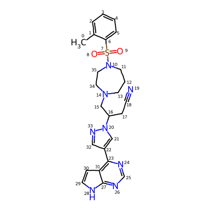 Cc1ccccc1S(=O)(=O)N1CCCN(CC(CC#N)n2cc(-c3ncnc4[nH]ccc34)cn2)CC1